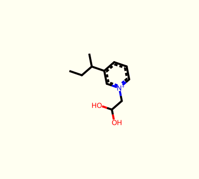 CCC(C)c1ccc[n+](CC(O)O)c1